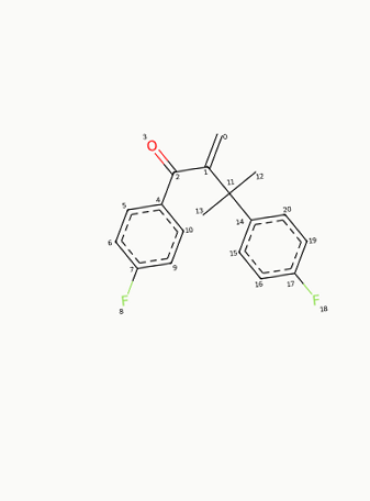 C=C(C(=O)c1ccc(F)cc1)C(C)(C)c1ccc(F)cc1